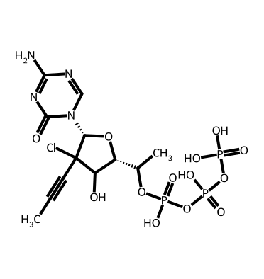 CC#CC1(Cl)C(O)[C@@H](C(C)OP(=O)(O)OP(=O)(O)OP(=O)(O)O)O[C@H]1n1cnc(N)nc1=O